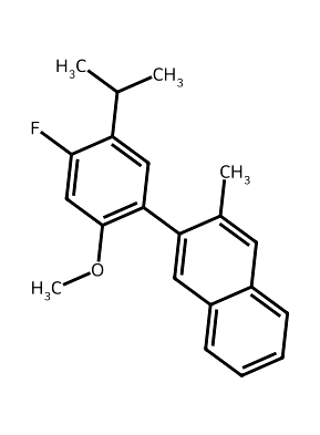 COc1cc(F)c(C(C)C)cc1-c1cc2ccccc2cc1C